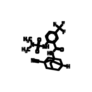 CN(C)S(=O)(=O)Nc1ccc(C(F)(F)F)cc1C(=O)NC12CC3C[C@H](CC(C#N)(C3)C1)C2